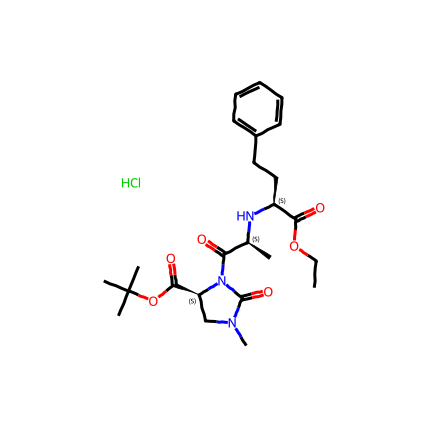 CCOC(=O)[C@H](CCc1ccccc1)N[C@@H](C)C(=O)N1C(=O)N(C)C[C@H]1C(=O)OC(C)(C)C.Cl